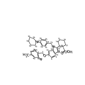 Cc1cnc(COc2ccc3nc(C4CCCCC4C(=O)O)n(Cc4ccc(N5CCCCC5)cc4)c3c2)c(F)c1